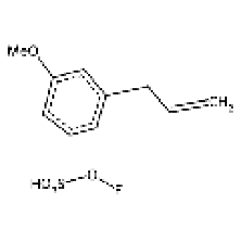 C=CCc1cccc(OC)c1.O=S(=O)(O)OF